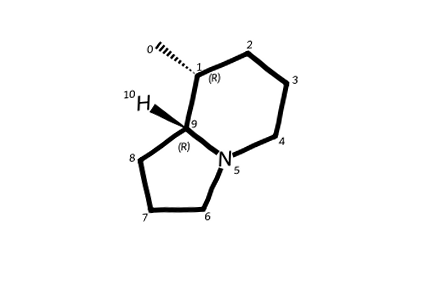 C[C@@H]1CCCN2CCC[C@H]12